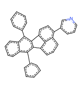 c1ccc(-c2c3c(c(-c4ccccc4)c4ccccc24)-c2ccc(-c4cccnc4)c4cccc-3c24)cc1